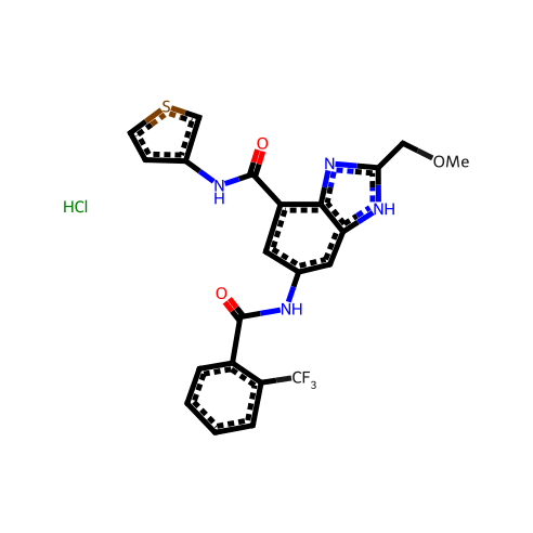 COCc1nc2c(C(=O)Nc3ccsc3)cc(NC(=O)c3ccccc3C(F)(F)F)cc2[nH]1.Cl